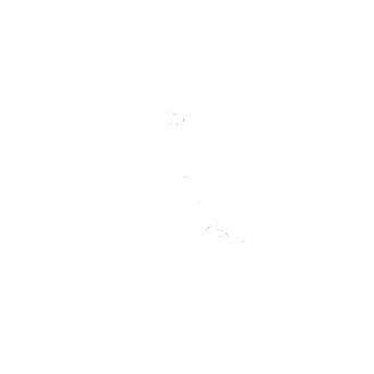 C=C(CCC1CCC(C2CCC(CCCCC(F)(F)F)CC2)CC1)CNCCCC